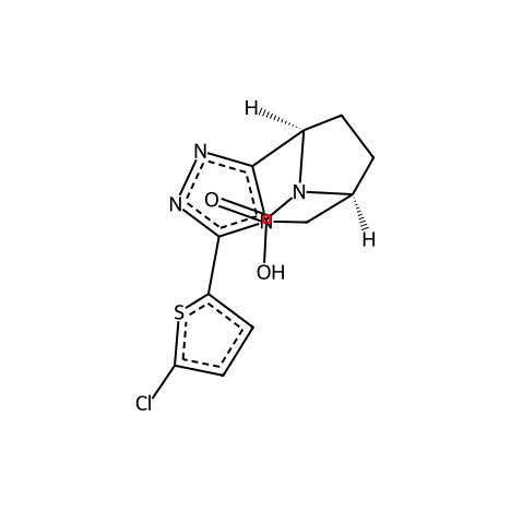 O=C(O)N1[C@H]2CC[C@@H]1c1nnc(-c3ccc(Cl)s3)n1C2